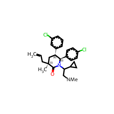 C=CC[C@@]1(C)C[C@H](c2cccc(Cl)c2)[C@@H](c2ccc(Cl)cc2)N(C(CNC)C2CC2)C1=O